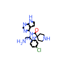 NCC(c1ccc(Cl)cc1)N(C(=O)C1(N)CCNCC1)c1ncnc2[nH]ccc12